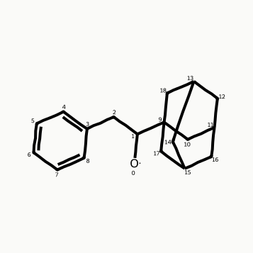 [O]C(Cc1ccccc1)C12CC3CC(CC(C3)C1)C2